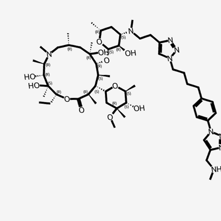 CC[C@H]1OC(=O)[C@H](C)[C@@H](C2C[C@@](C)(OC)[C@@H](O)[C@H](C)O2)[C@H](C)[C@@H](O[C@@H]2O[C@H](C)C[C@H](N(C)CCc3cn(CCCCc4ccc(-n5cc(CNC)nn5)cc4)nn3)[C@H]2O)[C@](C)(O)C[C@@H](C)CN(C)[C@H](C)[C@@H](O)[C@]1(C)O